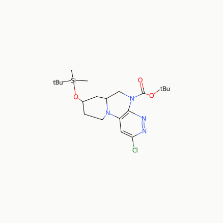 CC(C)(C)OC(=O)N1CC2CC(O[Si](C)(C)C(C)(C)C)CCN2c2cc(Cl)nnc21